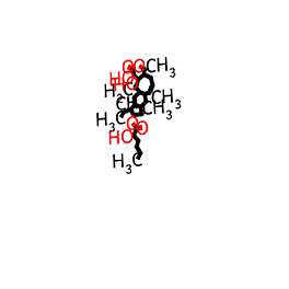 C=C1C2CC3C(C(C)C)C(OC(=O)C(O)CCCC)CC3(C)CC2/C(C)=C\CC2C(C)OC(=O)C(O)C12O